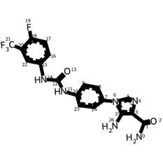 NC(=O)c1ncn(-c2ccc(NC(=O)Nc3ccc(F)c(C(F)(F)F)c3)cc2)c1N